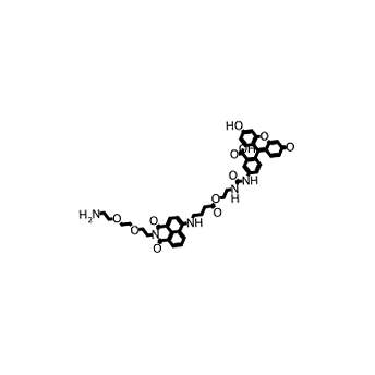 NCCOCCOCCN1C(=O)c2cccc3c(NCCCC(=O)OCCNC(=O)Nc4ccc(-c5c6ccc(=O)cc-6oc6cc(O)ccc56)c(C(=O)O)c4)ccc(c23)C1=O